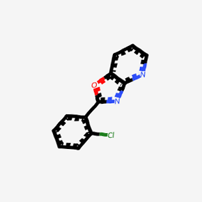 Clc1ccccc1-c1nc2ncccc2o1